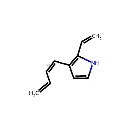 C=C/C=C\c1cc[nH]c1C=C